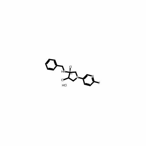 Cl.Fc1ccc(N2CC(Cl)[C@](Cl)(NCc3ccccc3)C2)cn1